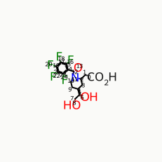 O=C(O)CC1CC(=C(O)CO)CCN1C(=O)c1c(F)c(F)c(F)c(F)c1F